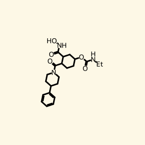 CCNC(=O)OC1CCC(C(=O)N2CCC(c3ccccc3)CC2)C(C(=O)NO)C1